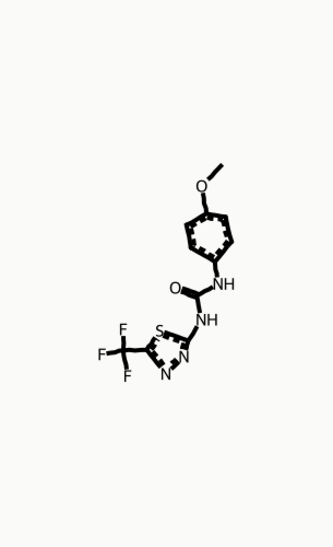 COc1ccc(NC(=O)Nc2nnc(C(F)(F)F)s2)cc1